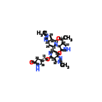 C[C@@H](Oc1nc(-c2cc3nn(C)cc3c(OC[C@@H]3CNC(=O)C3)n2)cc2nn(C)cc12)[C@H]1CNC(=O)C1